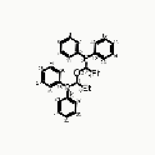 CCC(OC(CC)P(c1ccccc1)c1ccccc1)P(c1ccccc1)c1ccccc1